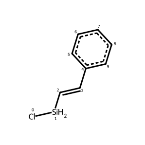 Cl[SiH2]C=Cc1ccccc1